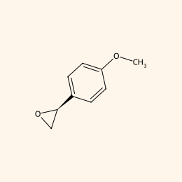 COc1ccc([C@H]2CO2)cc1